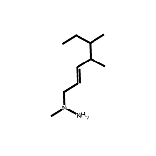 CCC(C)C(C)C=CCN(C)N